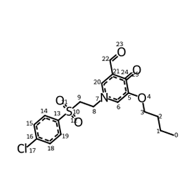 CCCCOc1cn(CCS(=O)(=O)c2ccc(Cl)cc2)cc(C=O)c1=O